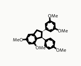 COc1ccc([C@H]2c3c(cc(OC)cc3OC)C[C@@H]2c2cc(OC)cc(OC)c2)cc1